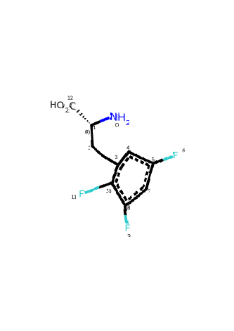 N[C@H](Cc1cc(F)cc(F)c1F)C(=O)O